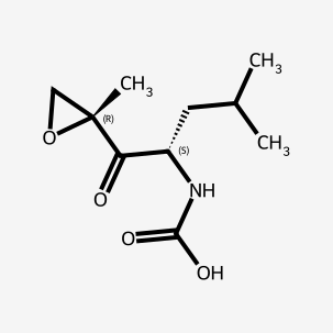 CC(C)C[C@H](NC(=O)O)C(=O)[C@@]1(C)CO1